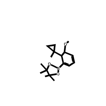 COC1C=CC=C(B2OC(C)(C)C(C)(C)O2)C1C1(C)CC1